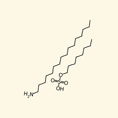 CCCCCCCCCCCCCCCCN.CCCCCCCCOS(=O)(=O)O